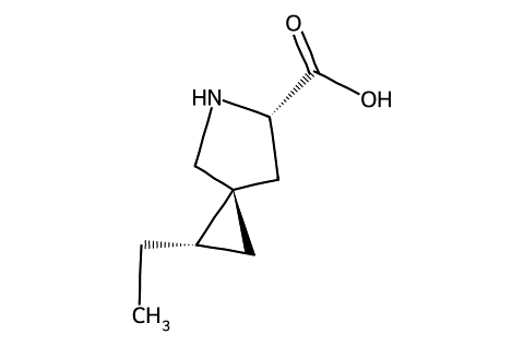 CC[C@H]1C[C@]12CN[C@H](C(=O)O)C2